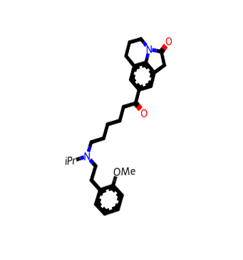 COc1ccccc1CCN(CCCCCC(=O)c1cc2c3c(c1)CC(=O)N3CCC2)C(C)C